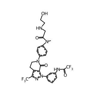 CN(C(=O)CNCCO)c1ccc(N2CCc3c(C(F)(F)F)nn(-c4cccc(NC(=O)C(F)(F)F)c4)c3C2=O)cc1